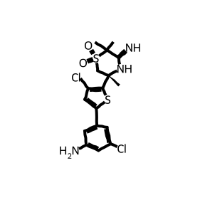 CC1(C)C(=N)N[C@](C)(c2sc(-c3cc(N)cc(Cl)c3)cc2Cl)CS1(=O)=O